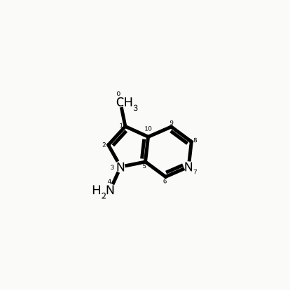 Cc1cn(N)c2cnccc12